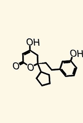 O=C1C=C(O)C[C@](CCc2cccc(O)c2)(C2CCCC2)O1